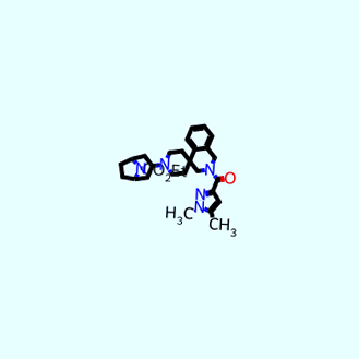 CCOC(=O)N1C2CCC1CC(N1CCC3(CC1)CN(C(=O)c1cc(C)n(C)n1)Cc1ccccc13)C2